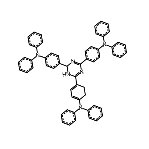 C1=C(C2=NC(c3ccc(N(c4ccccc4)c4ccccc4)cc3)=NC(c3ccc(N(c4ccccc4)c4ccccc4)cc3)N2)CCC(N(c2ccccc2)c2ccccc2)=C1